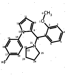 COc1ccccc1C(c1cccn1-c1ccc(F)cc1)N1CCCC1